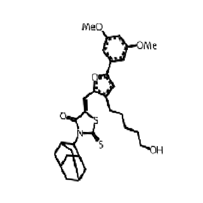 COc1cc(OC)cc(-c2cc(CCCCCO)c(C=C3SC(=S)N(C4C5CC6CC(C5)CC4C6)C3=O)o2)c1